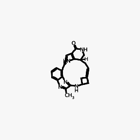 Cc1nc2cccc3c2nc1NC1CC(=CC[C@H]2CNC(=O)c4cc-3[nH]c42)C1